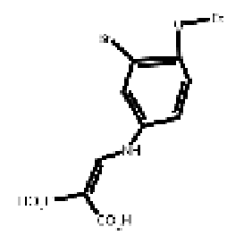 CCOc1ccc(NC=C(C(=O)O)C(=O)O)cc1Br